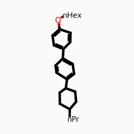 CCCCCCOc1ccc(-c2ccc(C3CCC(CCC)CC3)cc2)cc1